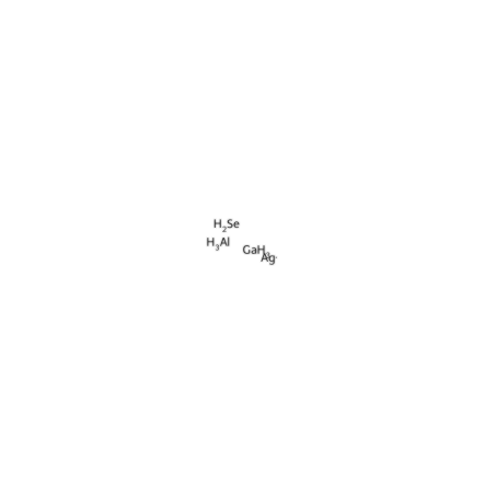 [Ag].[AlH3].[GaH3].[SeH2]